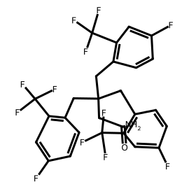 NC(=O)CC(Cc1ccc(F)cc1C(F)(F)F)(Cc1ccc(F)cc1C(F)(F)F)Cc1ccc(F)cc1C(F)(F)F